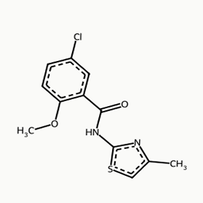 COc1ccc(Cl)cc1C(=O)Nc1nc(C)cs1